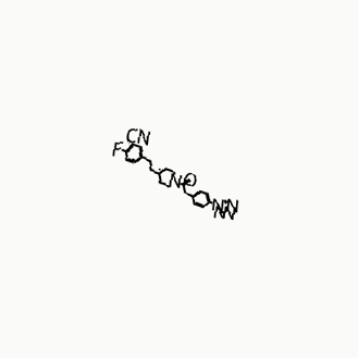 N#Cc1cc(CC[C]2CCN(C(=O)Cc3ccc(-n4cnnn4)cc3)CC2)ccc1F